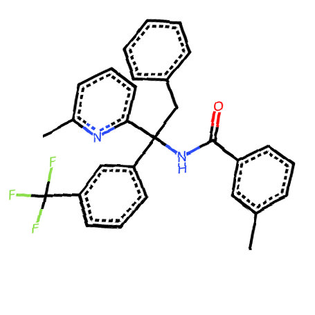 Cc1cccc(C(=O)NC(Cc2ccccc2)(c2cccc(C(F)(F)F)c2)c2cccc(C)n2)c1